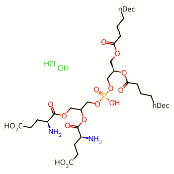 CCCCCCCCCCCCCC(=O)OC[C@H](COP(=O)(O)OCC(COC(=O)[C@@H](N)CCC(=O)O)OC(=O)[C@@H](N)CCC(=O)O)OC(=O)CCCCCCCCCCCCC.Cl.Cl